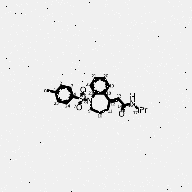 Cc1ccc(S(=O)(=O)N2CCCC(=CC(=O)NC(C)C)c3ccccc32)cc1